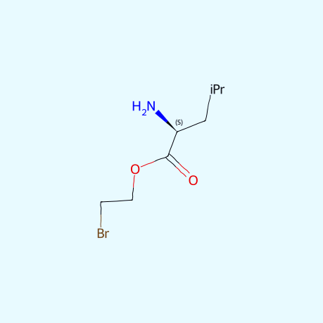 CC(C)C[C@H](N)C(=O)OCCBr